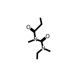 CCC(=O)N(C)C(=O)N(C)CC